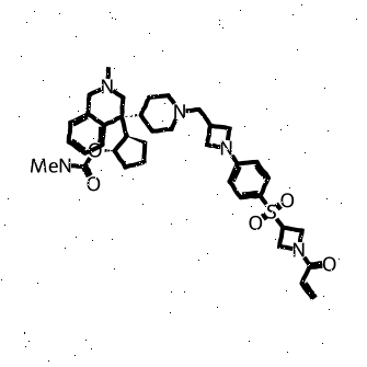 C=CC(=O)N1CC(S(=O)(=O)c2ccc(N3CC(CN4CCC([C@@]5([C@H]6CCC[C@@H]6OC(=O)NC)CN(C)Cc6ccccc65)CC4)C3)cc2)C1